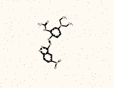 CCN(CC)c1ccc(/N=N/c2snc3ccc([N+](=O)[O-])cc23)c(NC(C)=O)c1